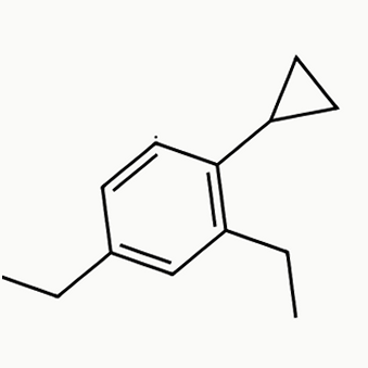 CCc1c[c]c(C2CC2)c(CC)c1